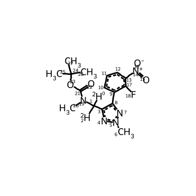 [2H]C([2H])(c1nn(C)nc1-c1cccc([N+](=O)[O-])c1F)N(C)C(=O)OC(C)(C)C